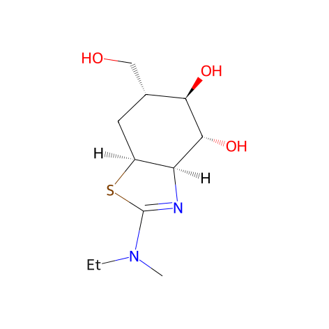 CCN(C)C1=N[C@@H]2[C@@H](O)[C@H](O)[C@@H](CO)C[C@@H]2S1